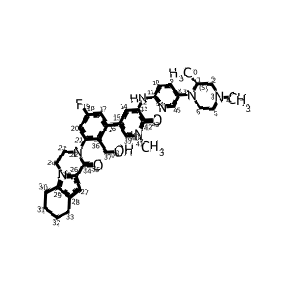 C[C@H]1CN(C)CCN1c1ccc(Nc2cc(-c3cc(F)cc(N4CCn5c(cc6c5CCCC6)C4=O)c3CO)cn(C)c2=O)nc1